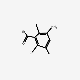 CCC(=O)c1c(C)c(N)cc(C)c1Cl